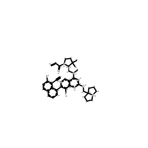 C#Cc1c(F)ccc2cccc(-c3ncc4c(N(C)C[C@H]5N(C(=O)C=C)CCC5(C)C)nc(OCC56CCCN5CCC6)nc4c3F)c12